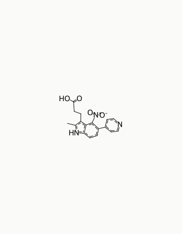 Cc1[nH]c2ccc(-c3ccncc3)c([N+](=O)[O-])c2c1CCC(=O)O